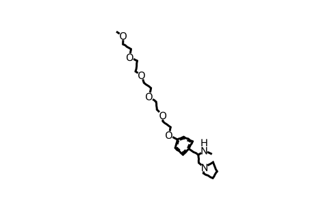 CNC(CN1CCCC1)c1ccc(OCCOCCOCCOCCOCCOC)cc1